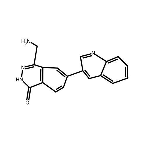 NCc1n[nH]c(=O)c2ccc(-c3cnc4ccccc4c3)cc12